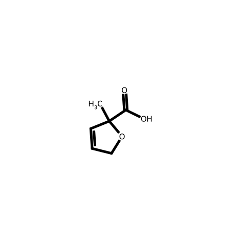 CC1(C(=O)O)C=CCO1